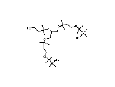 CC(C)(CCOC(C)(C)[Si](C)(C)C(C)(C)C)OCC(COC(C)(C)CCOC(C)(C)[Si](C)(C)C(C)(C)C)OC(C)(C)CCO